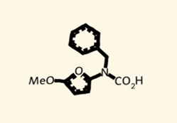 COc1ccc(N(Cc2ccccc2)C(=O)O)o1